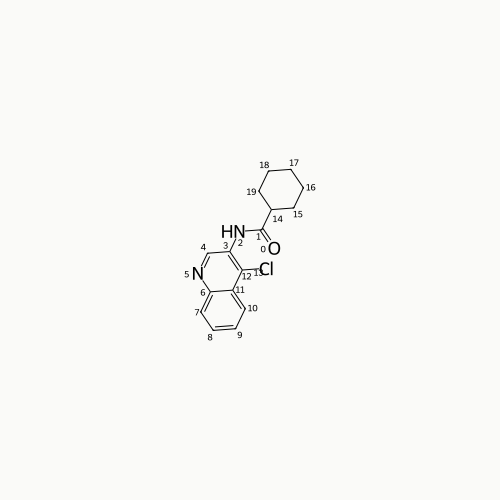 O=C(Nc1cnc2ccccc2c1Cl)C1CCCCC1